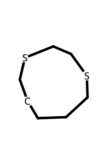 C1CCSCCSCC1